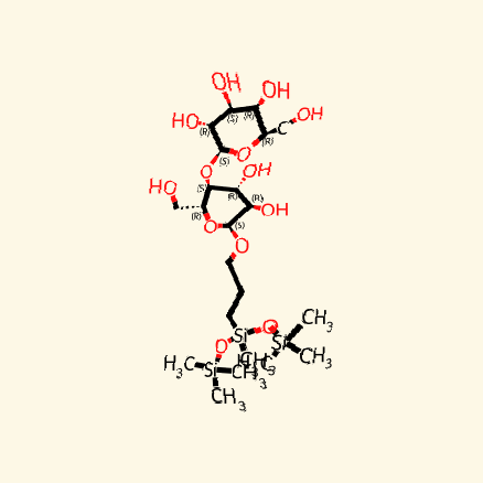 C[Si](C)(C)O[Si](C)(CCCO[C@H]1O[C@H](CO)[C@@H](O[C@@H]2O[C@H](CO)[C@H](O)[C@H](O)[C@H]2O)[C@H](O)[C@H]1O)O[Si](C)(C)C